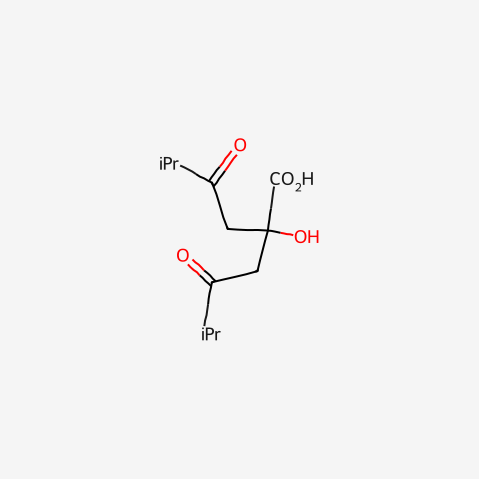 CC(C)C(=O)CC(O)(CC(=O)C(C)C)C(=O)O